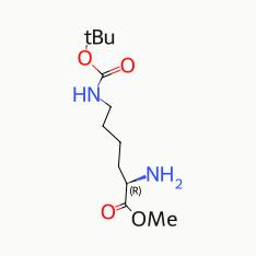 COC(=O)[C@H](N)CCCCNC(=O)OC(C)(C)C